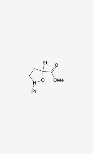 CCC1(C(=O)OC)CCN(C(C)C)O1